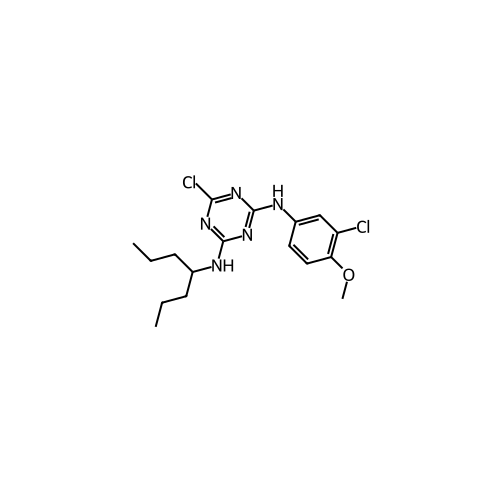 CCCC(CCC)Nc1nc(Cl)nc(Nc2ccc(OC)c(Cl)c2)n1